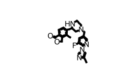 Cc1cn(-c2ncc(CN3CCNC(c4ccc5c(c4C)COC5=O)C3)cc2F)cn1